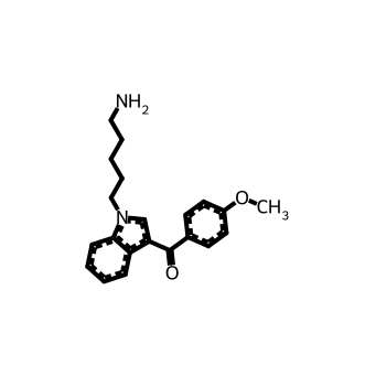 COc1ccc(C(=O)c2cn(CCCCCN)c3ccccc23)cc1